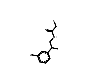 CC(CNC(=O)CCl)c1cccc(Br)c1